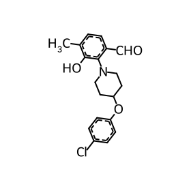 Cc1ccc(C=O)c(N2CCC(Oc3ccc(Cl)cc3)CC2)c1O